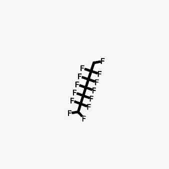 FCC(F)(F)C(F)(F)C(F)(F)C(F)(F)C(F)(F)[C](F)F